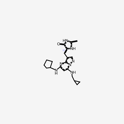 C=c1[nH]c(=O)/c(=C/c2cnn3c(NCC4CC4)cc(NC4CCCC4)nc23)[nH]1